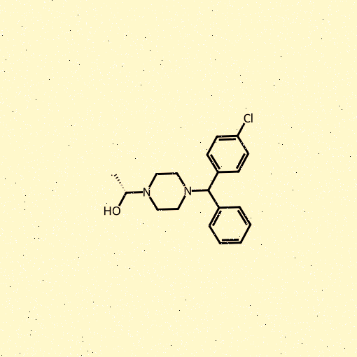 [CH2][C@@H](O)N1CCN(C(c2ccccc2)c2ccc(Cl)cc2)CC1